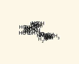 CCC(=O)NCCNC(=O)/N=C(/N)NCCC[C@@H](NC(=O)C(c1ccccc1)c1cccc(OCCCCNC(=O)CCNC(=O)[C@H](CCC(=O)NC[C@H](O)[C@@H](O)[C@H](O)[C@H](O)CO)NC(=O)CN2CCN(CC(=O)O)CCN(CC(=O)O)CCN(CC(=O)O)CC2)c1)C(=O)NCc1ccc(O)cc1